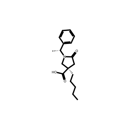 CCCCC[C@@]1(C(=O)O)CC(=O)N([C@H](C)c2ccccc2)C1